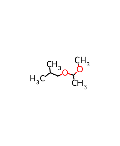 COC(C)OCC(C)C